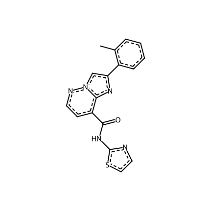 Cc1ccccc1-c1cn2nccc(C(=O)Nc3nccs3)c2n1